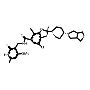 CSc1cc(C)[nH]c(=O)c1CNC(=O)c1cc(Cl)c2c(c1C)O[C@](C)([C@H]1CC[C@@H](N3CC4COCC4C3)CC1)O2